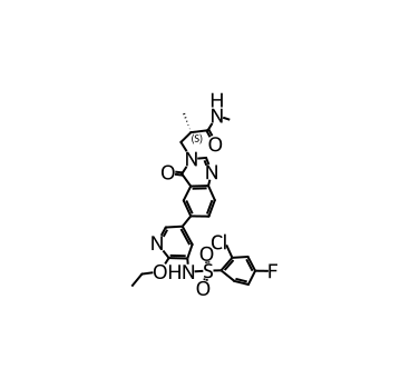 CCOc1ncc(-c2ccc3ncn(C[C@H](C)C(=O)NC)c(=O)c3c2)cc1NS(=O)(=O)c1ccc(F)cc1Cl